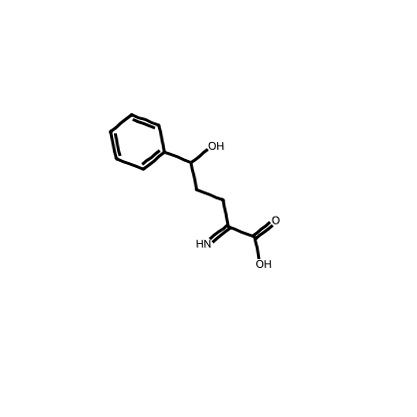 N=C(CCC(O)c1ccccc1)C(=O)O